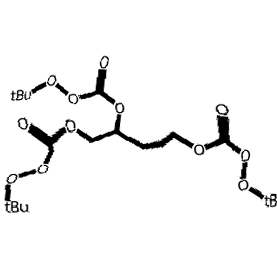 CC(C)(C)OOC(=O)OCCC(COC(=O)OOC(C)(C)C)OC(=O)OOC(C)(C)C